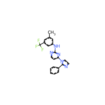 Cc1cc(Nc2nccc(-n3ccnc3-c3ccccc3)n2)cc(C(F)(F)F)c1